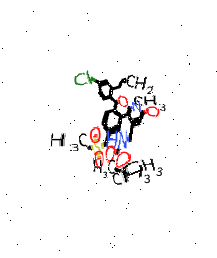 C=CCc1cc(Cl)ccc1C(=O)c1ccc(CS(=O)(=O)CC)cc1-c1cn(C)c(=O)cc1CNC(=O)OC(C)(C)C